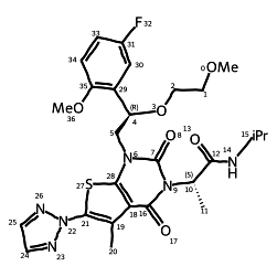 COCCO[C@@H](Cn1c(=O)n([C@@H](C)C(=O)NC(C)C)c(=O)c2c(C)c(-n3nccn3)sc21)c1cc(F)ccc1OC